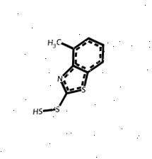 Cc1cccc2sc(SS)nc12